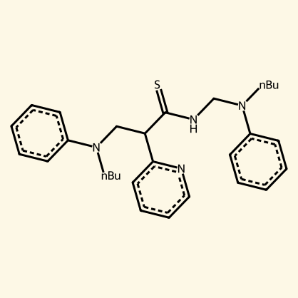 CCCCN(CNC(=S)C(CN(CCCC)c1ccccc1)c1ccccn1)c1ccccc1